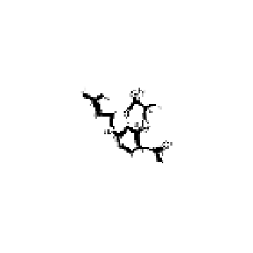 CC(=O)c1ccc(OCC=C(C)C)cc1OC(C)C(=O)O